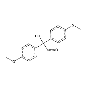 COc1ccc(C(O)(C=O)c2ccc(SC)cc2)cc1